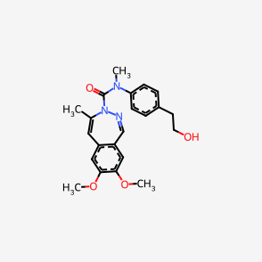 COc1cc2c(cc1OC)C=C(C)N(C(=O)N(C)c1ccc(CCO)cc1)N=C2